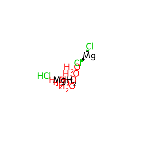 Cl.O.O.O.O.O.O.[Cl][Mg][Cl].[MgH2]